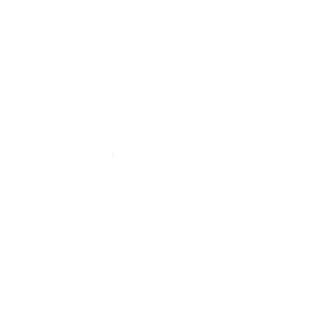 CB(C)c1ccc(I)cc1